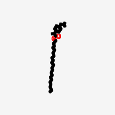 CCCCCCCCCCCCCCCCCCCCCCOC(=O)C(C)c1ccc(CC(C)C)cc1